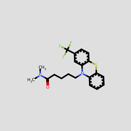 CN(C)C(=O)CCCCN1c2ccccc2Sc2ccc(C(F)(F)F)cc21